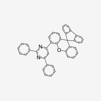 c1ccc(-c2cc(-c3cccc4c3Oc3ccccc3C43c4ccccc4-c4ccccc43)nc(-c3ccccc3)n2)cc1